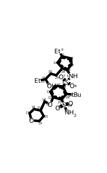 CCc1ccc(NS(=O)(=O)c2ccc(OCC3CCOCC3)c(S(N)(=O)=O)c2C(C)(C)C)c(CCC(O)CC)c1